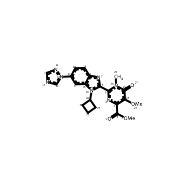 COC(=O)c1nc(-c2nc3ccc(-n4cncn4)cc3n2C2CCC2)n(C)c(=O)c1OC